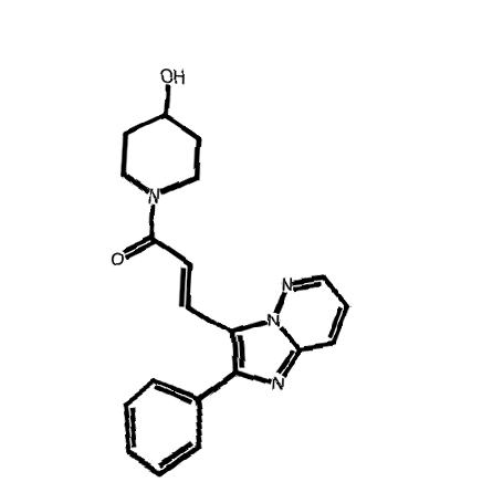 O=C(/C=C/c1c(-c2ccccc2)nc2cccnn12)N1CCC(O)CC1